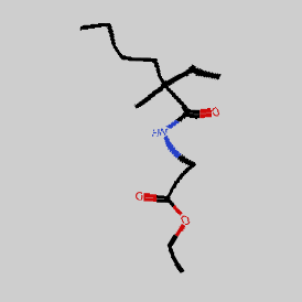 CCCCC(C)(CC)C(=O)NCC(=O)OCC